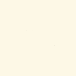 COCC=CF